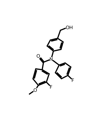 COc1ccc(C(=O)N(c2ccc(F)cc2)c2ccc(CO)cc2)cc1F